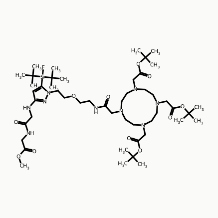 COC(=O)CNC(=O)CNc1cc([Si](F)(C(C)(C)C)C(C)(C)C)n(CCOCCNC(=O)CN2CCN(CC(=O)OC(C)(C)C)CCN(CC(=O)OC(C)(C)C)CCN(CC(=O)OC(C)(C)C)CC2)n1